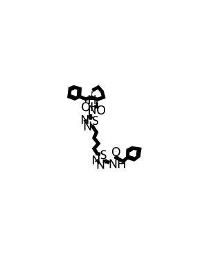 O=C(Cc1ccccc1)Nc1nnc(CCCCc2nnc(NC(=O)[C@@H]3CCCC[C@H]3[C@H](O)c3ccccc3)s2)s1